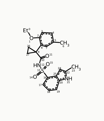 CCOc1ccc(C)cc1C1(C(=O)NS(=O)(=O)c2cccc3[nH]c(C)cc23)CC1